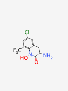 NC1Cc2cc(Cl)cc(C(F)(F)F)c2N(O)C1=O